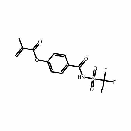 C=C(C)C(=O)Oc1ccc(C(=O)NS(=O)(=O)C(F)(F)F)cc1